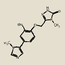 Cn1cncc1-c1ccc(OCc2n[nH]c(=O)n2C)c(C(C)(C)C)c1